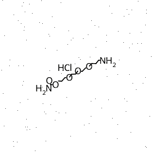 Cl.NCCCOCCOCCOCCCOC(N)=O